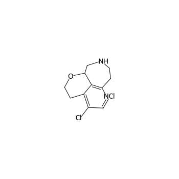 Cl.Clc1ccc2c3c1CCOC3CNCC2